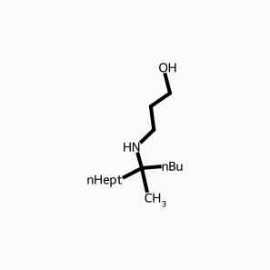 CCCCCCCC(C)(CCCC)NCCCO